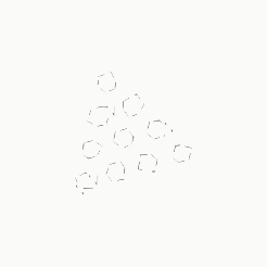 c1ccc(-c2ccc(-c3ccccc3-c3cc(-c4ccccc4-c4ccc(-n5ccnc5)cc4)cc(-c4ccccc4-c4ccc(-c5ccccc5)nc4)c3)cn2)cc1